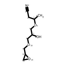 CC(CC#N)OCC(O)COCC1CO1